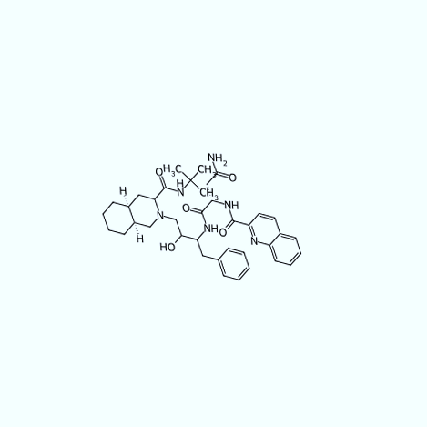 CC(C)(C)NC(=O)C1C[C@@H]2CCCC[C@@H]2CN1CC(O)C(Cc1ccccc1)NC(=O)[C@H](CC(N)=O)NC(=O)c1ccc2ccccc2n1